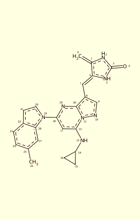 C=c1[nH]c(=O)[nH]/c1=C\c1cnn2c(NC3CC3)cc(-n3ccc4ccc(C)cc43)nc12